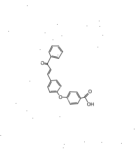 O=C(O)c1ccc(Oc2ccc(C=CC(=O)c3ccccc3)cc2)cc1